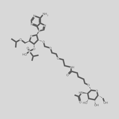 CC(=O)N[C@H]1[C@H](OCCCCC(=O)NCCOCCOCO[C@@H]2[C@H](OP(=O)(O)C(C)C)[C@@H](COC(C)C)O[C@H]2n2cnc3c(N)ncnc32)O[C@H](CO)[C@H](O)[C@@H]1O